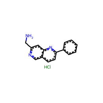 Cl.NCc1cc2nc(-c3ccccc3)ccc2cn1